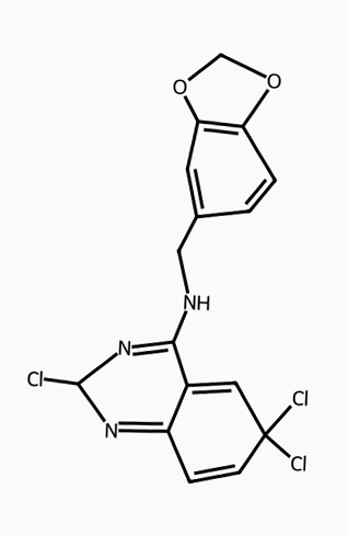 ClC1N=C2C=CC(Cl)(Cl)C=C2C(NCc2ccc3c(c2)OCO3)=N1